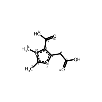 Cc1nc(CC(=O)O)c(C(=O)O)n1C